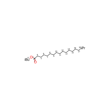 CCC(C)OC(=O)CCCCCCCCCCCCCCC(C)C